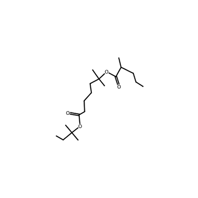 CCCC(C)C(=O)OC(C)(C)CCCCC(=O)OC(C)(C)CC